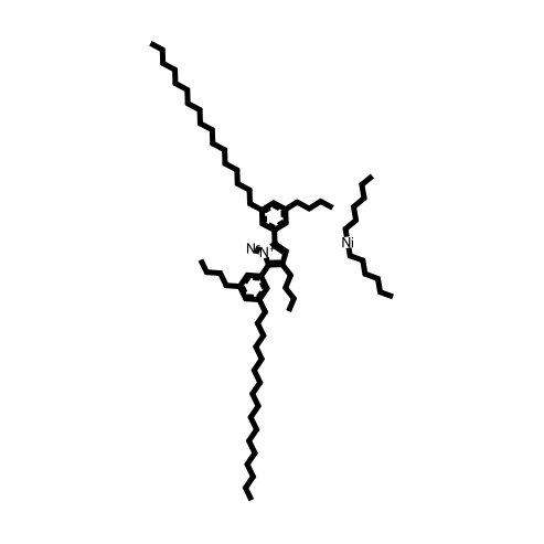 CCCCCCCCCCCCCCCCCc1cc(CCCC)cc(C2=CC(CCCC)=C(c3cc(CCCC)cc(CCCCCCCCCCCCCCCCC)c3)[N+]2=[N-])c1.CCCCC[CH2][Ni][CH2]CCCCC